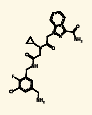 NCc1cc(Cl)c(F)c(CNC(=O)CN(C(=O)Cn2nc(C(N)=O)c3ccccc32)C2CC2)c1